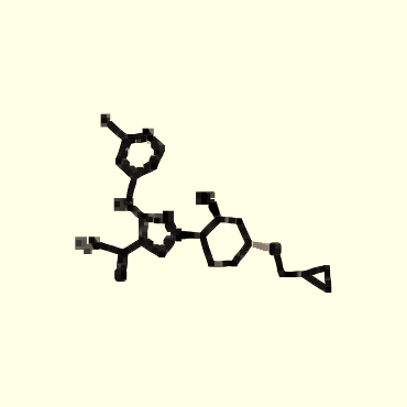 N#C[C@H]1C[C@H](OCC2CC2)CC[C@H]1n1cc(C(N)=O)c(Nc2ccnc(F)c2)n1